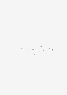 Cc1ccc(-c2ccc3c(c2)=Cc2ccc(-c4cccs4)cc2CC=3)s1